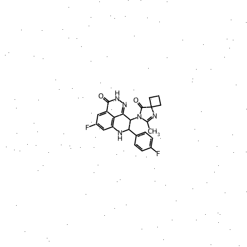 CC1=NC2(CCC2)C(=O)N1C1c2n[nH]c(=O)c3cc(F)cc(c23)NC1c1ccc(F)cc1